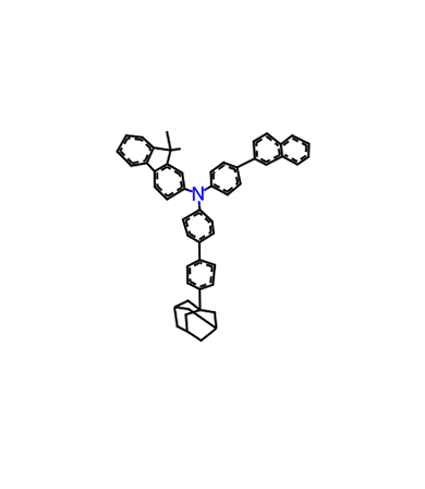 CC1(C)c2ccccc2-c2ccc(N(c3ccc(-c4ccc(C56CC7CC(CC(C7)C5)C6)cc4)cc3)c3ccc(-c4ccc5ccccc5c4)cc3)cc21